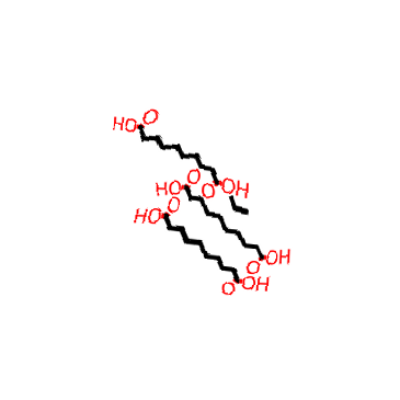 C=CC.O=C(O)CCCCCCCCC(=O)O.O=C(O)CCCCCCCCC(=O)O.O=C(O)CCCCCCCCC(=O)O